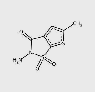 Cc1cc2c(s1)S(=O)(=O)N(N)C2=O